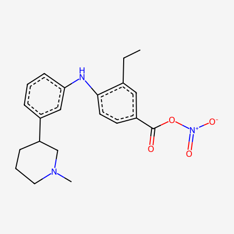 CCc1cc(C(=O)O[N+](=O)[O-])ccc1Nc1cccc(C2CCCN(C)C2)c1